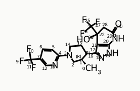 C[C@H]1CN(c2ccc(C(F)(F)F)cn2)CC[C@H]1c1n[nH]c2c1C(O)(C(F)(F)F)CC(=O)N2